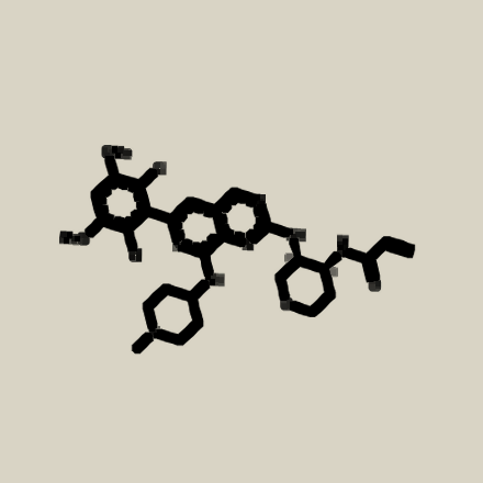 C=CC(=O)N[C@H]1CCOC[C@H]1Nc1ncc2cc(-c3c(Cl)c(OC)cc(OC)c3Cl)nc(NC3CCN(C)CC3)c2n1